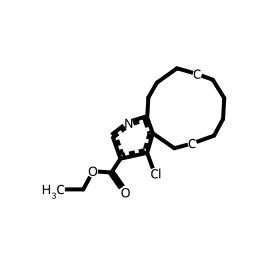 CCOC(=O)c1cnc2c(c1Cl)CCCCCCCCCC2